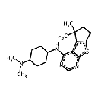 CN(C)C1CCC(Nc2ncnc3sc4c(c23)C(C)(C)CC4)CC1